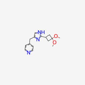 COC1(OC)CC(c2nc(Cc3ccncc3)c[nH]2)C1